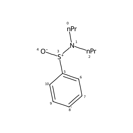 CCCN(CCC)[S+]([O-])c1cc[c]cc1